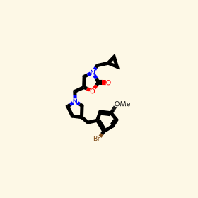 COc1ccc(Br)c(CC2CCN(CC3CN(CC4CC4)C(=O)O3)C2)c1